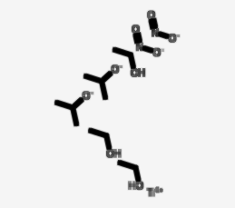 CC(C)[O-].CC(C)[O-].CCO.CCO.CCO.O=N[O-].O=N[O-].[Ti+4]